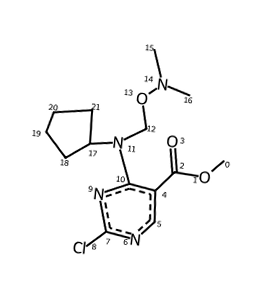 COC(=O)c1cnc(Cl)nc1N(CON(C)C)C1CCCC1